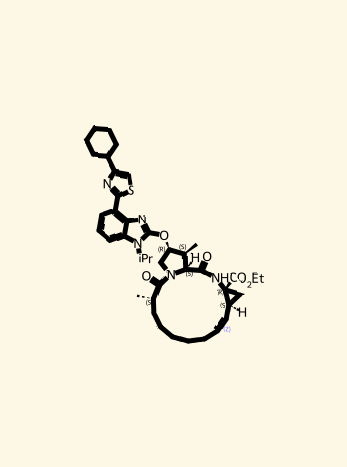 CCOC(=O)[C@@]12C[C@H]1/C=C\CCCCC[C@H](C)C(=O)N1C[C@H](Oc3nc4c(-c5nc(C6CCCCC6)cs5)cccc4n3C(C)C)[C@@H](C)[C@H]1C(=O)N2